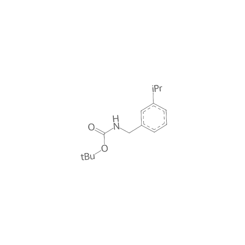 CC(C)c1cccc(CNC(=O)OC(C)(C)C)c1